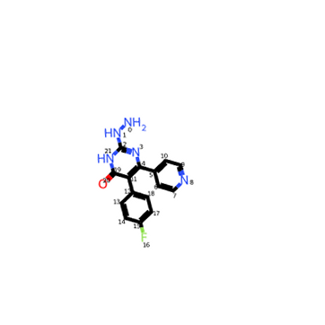 NNc1nc(-c2ccncc2)c(-c2ccc(F)cc2)c(=O)[nH]1